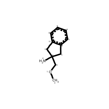 COCC1(N)Cc2ccccc2C1